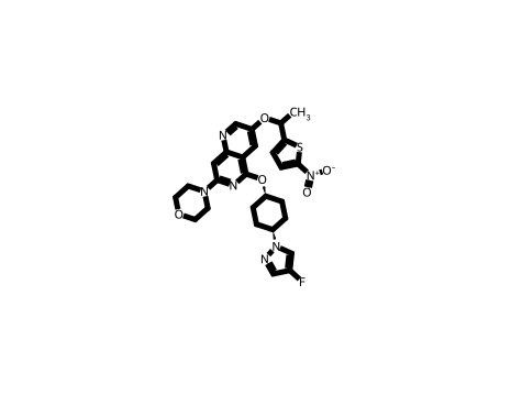 CC(Oc1cnc2cc(N3CCOCC3)nc(O[C@H]3CC[C@@H](n4cc(F)cn4)CC3)c2c1)c1ccc([N+](=O)[O-])s1